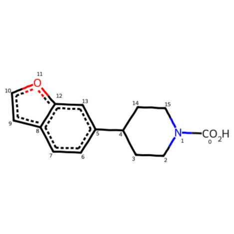 O=C(O)N1CCC(c2ccc3ccoc3c2)CC1